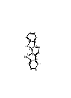 C1=c2[nH]c3c(ccc4c5ccccc5sc43)c2=CCC1